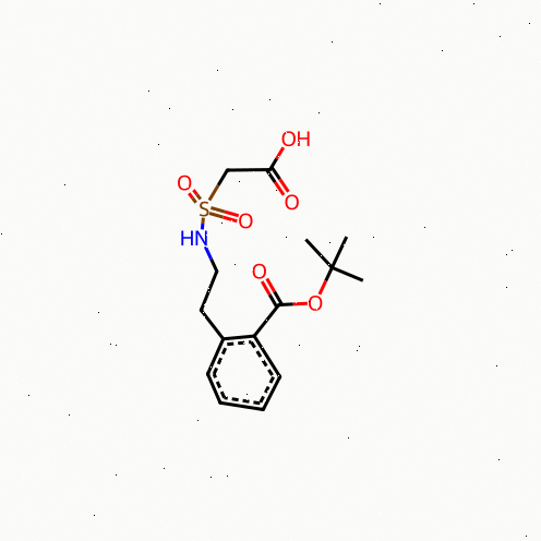 CC(C)(C)OC(=O)c1ccccc1CCNS(=O)(=O)CC(=O)O